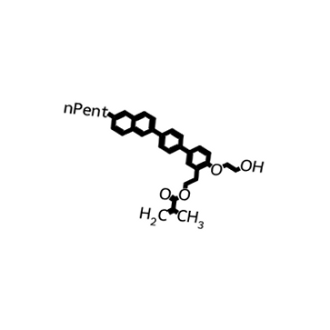 C=C(C)C(=O)OCCc1cc(-c2ccc(-c3ccc4cc(CCCCC)ccc4c3)cc2)ccc1OCCO